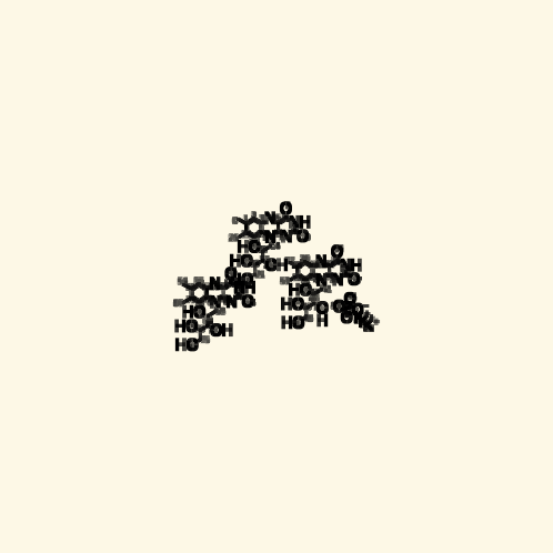 Cc1cc2nc3c(=O)[nH]c(=O)nc-3n(C[C@@H](O)[C@@H](O)[C@@H](O)CO)c2cc1C.Cc1cc2nc3c(=O)[nH]c(=O)nc-3n(C[C@@H](O)[C@@H](O)[C@@H](O)CO)c2cc1C.Cc1cc2nc3c(=O)[nH]c(=O)nc-3n(C[C@@H](O)[C@@H](O)[C@@H](O)CO)c2cc1C.O=P([O-])([O-])[O-].[K+].[K+].[K+]